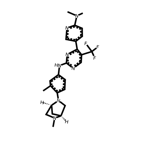 Cc1cc(Nc2ncc(C(F)(F)F)c(-c3ccc(N(C)C)nc3)n2)ccc1N1C[C@@H]2C[C@H]1CN2C